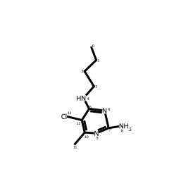 CCCCNc1nc(N)nc(C)c1Cl